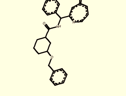 O=C(NC(c1ccccc1)c1cc(=O)cccn1)C1CCCC(OCc2ccccc2)C1